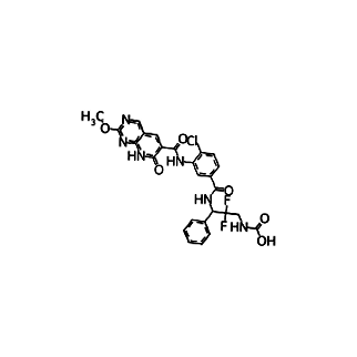 COc1ncc2cc(C(=O)Nc3cc(C(=O)NC(c4ccccc4)C(F)(F)CNC(=O)O)ccc3Cl)c(=O)[nH]c2n1